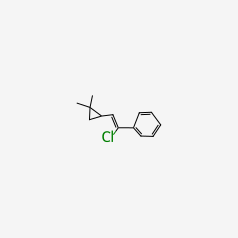 CC1(C)CC1C=C(Cl)c1ccccc1